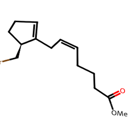 COC(=O)CCC/C=C\CC1=CCC[C@@H]1CBr